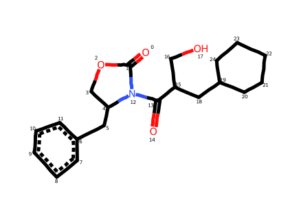 O=C1OCC(Cc2ccccc2)N1C(=O)C(CO)CC1CCCCC1